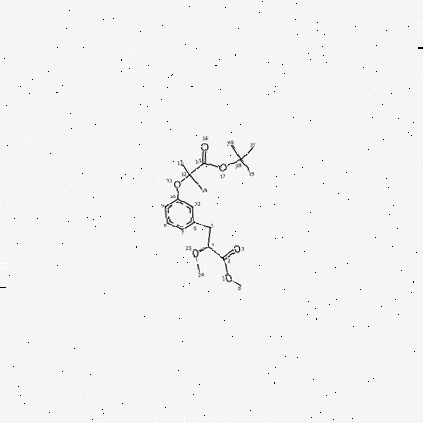 COC(=O)C(Cc1cccc(OC(C)(C)C(=O)OC(C)(C)C)c1)OC